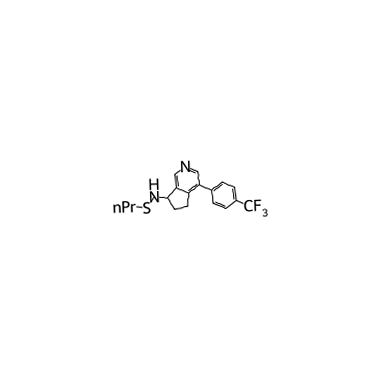 CCCSNC1CCc2c(-c3ccc(C(F)(F)F)cc3)cncc21